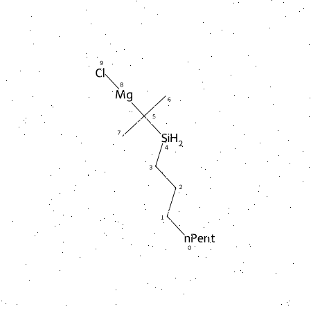 CCCCCCCC[SiH2][C](C)(C)[Mg][Cl]